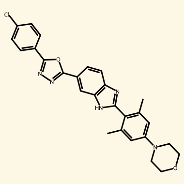 Cc1cc(N2CCOCC2)cc(C)c1-c1nc2ccc(-c3nnc(-c4ccc(Cl)cc4)o3)cc2[nH]1